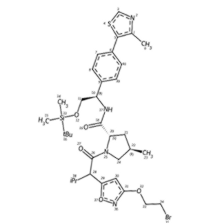 Cc1ncsc1-c1ccc([C@H](CO[Si](C)(C)C(C)(C)C)NC(=O)[C@@H]2C[C@@H](C)CN2C(=O)C(c2cc(OCCBr)no2)C(C)C)cc1